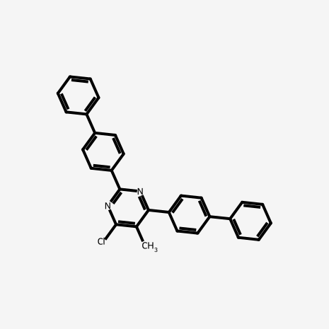 Cc1c(Cl)nc(-c2ccc(-c3ccccc3)cc2)nc1-c1ccc(-c2ccccc2)cc1